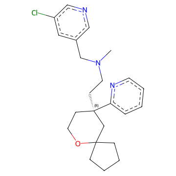 CN(CC[C@@]1(c2ccccn2)CCOC2(CCCC2)C1)Cc1cncc(Cl)c1